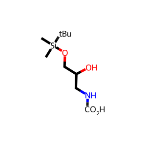 CC(C)(C)[Si](C)(C)OCC(O)CNC(=O)O